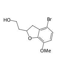 COc1ccc(Br)c2c1OC(CCO)C2